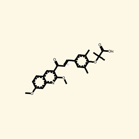 COc1ccc2cc(C(=O)/C=C/c3cc(C)c(OC(C)(C)C(=O)O)c(C)c3)c(OC)nc2c1